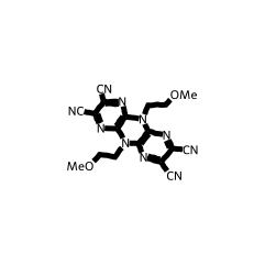 COCCN1c2nc(C#N)c(C#N)nc2N(CCOC)c2nc(C#N)c(C#N)nc21